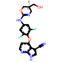 C[C@]1(CO)CN=C(Nc2cc(F)c(Oc3ccnc4[nH]cc(C#N)c34)c(F)c2)OC1